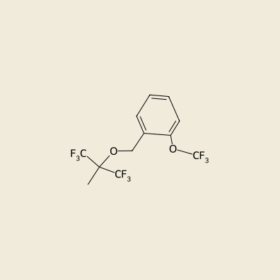 CC(OCc1ccccc1OC(F)(F)F)(C(F)(F)F)C(F)(F)F